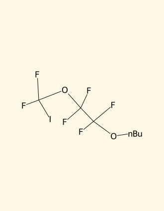 CCCCOC(F)(F)C(F)(F)OC(F)(F)I